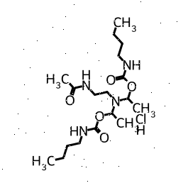 CCCCNC(=O)OC(C)N(CCNC(C)=O)C(C)OC(=O)NCCCC.Cl